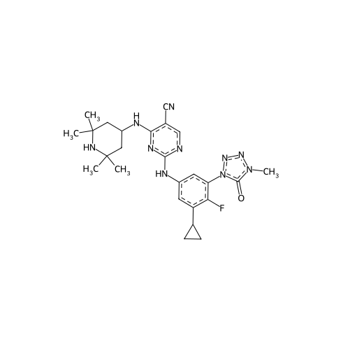 Cn1nnn(-c2cc(Nc3ncc(C#N)c(NC4CC(C)(C)NC(C)(C)C4)n3)cc(C3CC3)c2F)c1=O